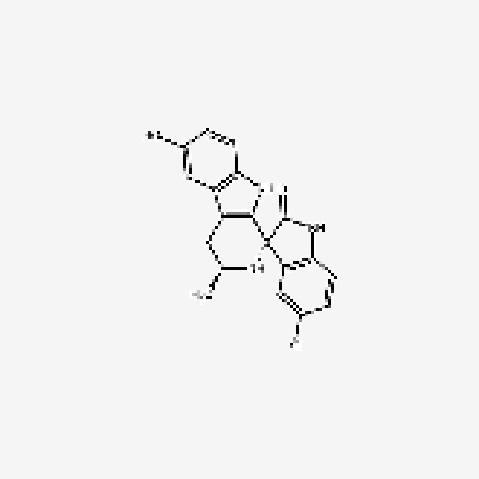 C[C@H]1Cc2c([nH]c3ccc(O)cc23)[C@@]2(N1)C(=O)Nc1ccc(Cl)cc12